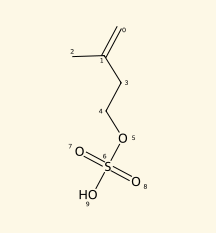 C=C(C)CCOS(=O)(=O)O